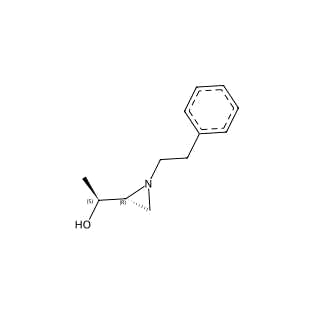 C[C@H](O)[C@H]1CN1CCc1ccccc1